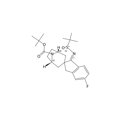 CC(C)(C)OC(=O)N1[C@@H]2CC[C@H]1CC1(Cc3cc(F)ccc3/C1=N/[S@+]([O-])C(C)(C)C)C2